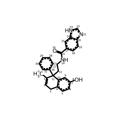 CC1=CCc2ccc(O)cc2C1(CCNC(=O)c1ccc2nc[nH]c2c1)c1ccccc1